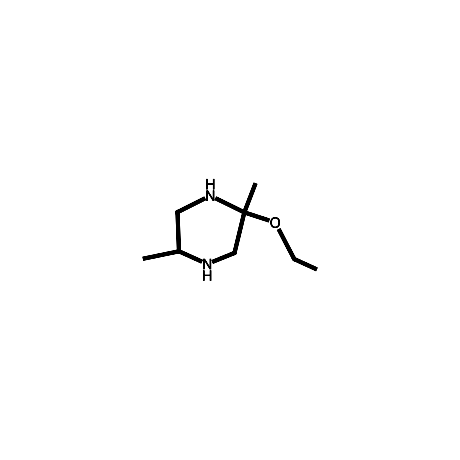 CCOC1(C)CNC(C)CN1